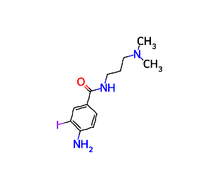 CN(C)CCCNC(=O)c1ccc(N)c(I)c1